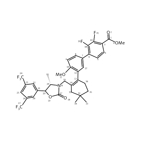 COC(=O)c1ccc(-c2ccc(OC)c(C3=C(CN4C(=O)OC(c5cc(C(F)(F)F)cc(C(F)(F)F)c5)[C@@H]4C)CC(C)(C)CC3)c2)c(F)c1F